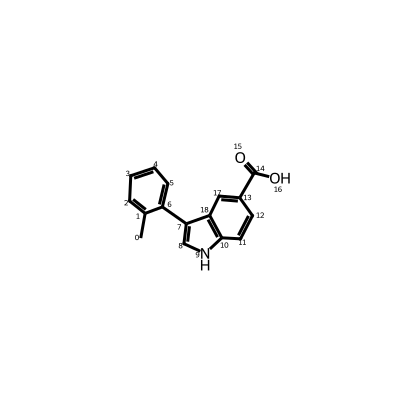 Cc1ccccc1-c1c[nH]c2ccc(C(=O)O)cc12